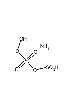 N.O=S(=O)(O)OS(=O)(=O)OO